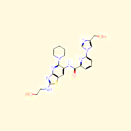 O=C(Nc1cc2sc(NCCO)nc2nc1N1CCCCC1)c1cccc(-n2cnc(CO)c2)n1